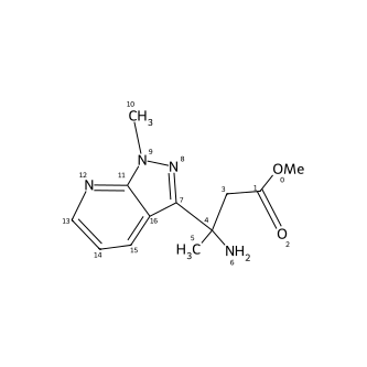 COC(=O)CC(C)(N)c1nn(C)c2ncccc12